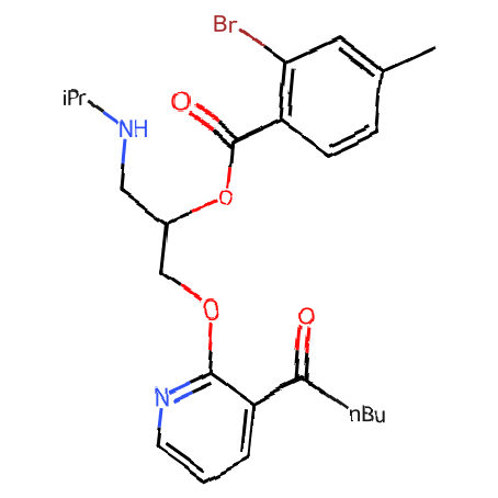 CCCCC(=O)c1cccnc1OCC(CNC(C)C)OC(=O)c1ccc(C)cc1Br